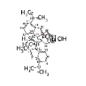 CC1=Cc2c(C(C)C)cccc2[CH]1[Ti]([CH3])(=[SiH2])([c]1ccccc1)[CH]1C(C)=Cc2c(C(C)C)cccc21.Cl.Cl